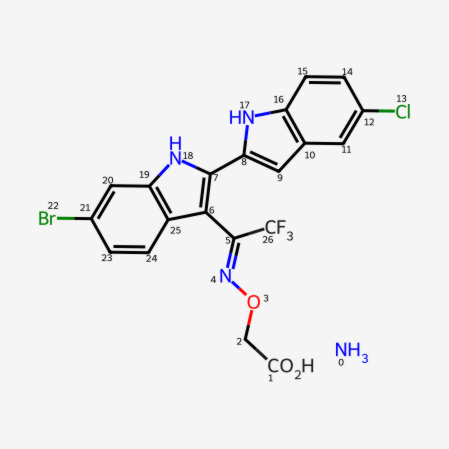 N.O=C(O)CON=C(c1c(-c2cc3cc(Cl)ccc3[nH]2)[nH]c2cc(Br)ccc12)C(F)(F)F